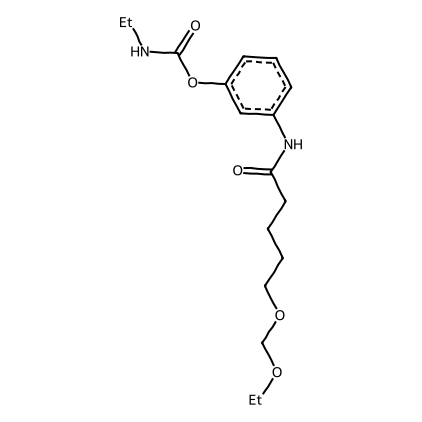 CCNC(=O)Oc1cccc(NC(=O)CCCCOCOCC)c1